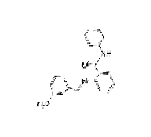 Bc1cccc(/C=N/c2ccccc2C(=O)Nc2ccccc2)c1